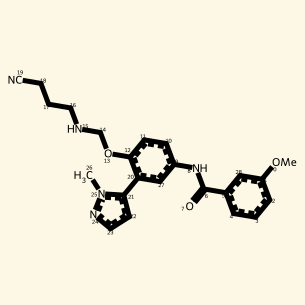 COc1cccc(C(=O)Nc2ccc(OCNCCCC#N)c(-c3ccnn3C)c2)c1